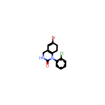 O=C1NCC2=C(CCC(Br)=C2)N1c1ccccc1Cl